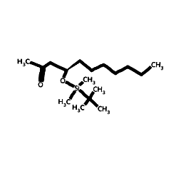 CCCCCCC[C@H](CC(C)=O)O[Si](C)(C)C(C)(C)C